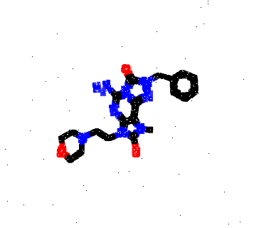 Cn1c(=O)n(CCN2CCOCC2)c2nc(N)n3c(=O)n(Cc4ccccc4)nc3c21